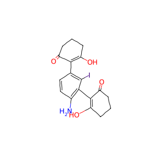 Nc1ccc(C2=C(O)CCCC2=O)c(I)c1C1=C(O)CCCC1=O